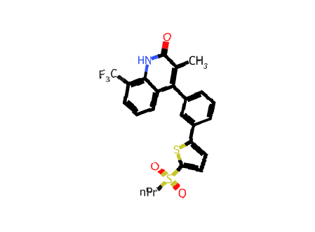 CCCS(=O)(=O)c1ccc(-c2cccc(-c3c(C)c(=O)[nH]c4c(C(F)(F)F)cccc34)c2)s1